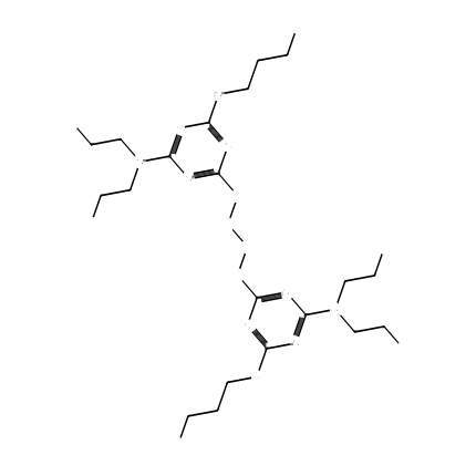 CCCCNc1nc(SSSSc2nc(NCCCC)nc(N(CCC)CCC)n2)nc(N(CCC)CCC)n1